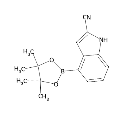 CC1(C)OB(c2cccc3[nH]c(C#N)cc23)OC1(C)C